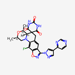 C[C@@H]1CN2c3c(cc4c(-n5cc(-c6ccncn6)cn5)noc4c3F)CC3(C(=O)NC(=O)NC3=O)[C@H]2[C@H](C)O1